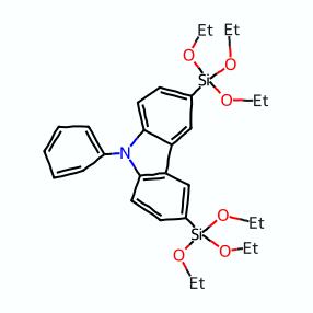 CCO[Si](OCC)(OCC)c1ccc2c(c1)c1cc([Si](OCC)(OCC)OCC)ccc1n2-c1ccccc1